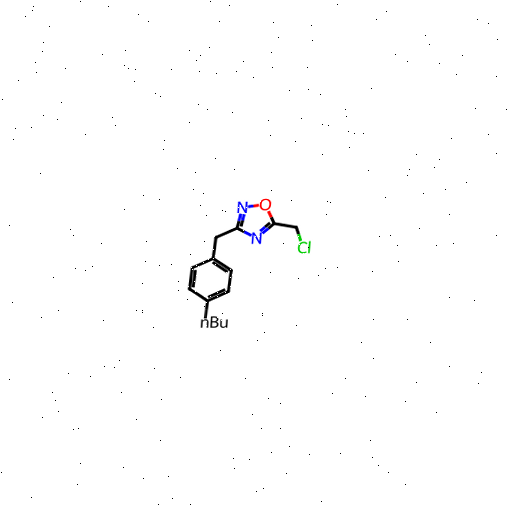 CCCCc1ccc(Cc2noc(CCl)n2)cc1